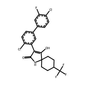 O=C1NC2(CCC(C(F)(F)F)CC2)C(O)=C1c1cc(-c2ccc(Cl)c(F)c2)ccc1Cl